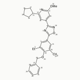 CCc1cc(-c2nc(-c3cc(OC)nc(C4CCCC4)c3)no2)cc(C)c1OCc1ccccc1